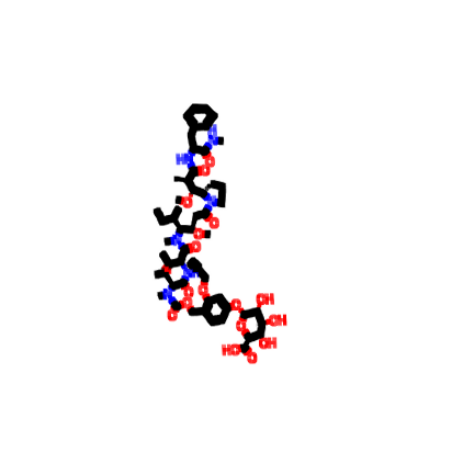 C#CCOc1cc(O[C@@H]2O[C@H](C(=O)O)[C@@H](O)[C@H](O)[C@H]2O)ccc1COC(=O)N(C)[C@H](C(=O)N[C@H](C(=O)N(C)[C@@H](C(C)CC)[C@@H](CC(=O)N1CCC[C@H]1[C@H](OC)[C@@H](C)C(=O)NC(Cc1ccccc1)C(=O)NC)OC)C(C)C)C(C)C